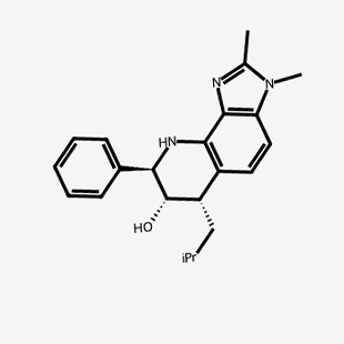 Cc1nc2c3c(ccc2n1C)[C@H](CC(C)C)[C@H](O)[C@@H](c1ccccc1)N3